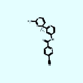 C[C@@]1(c2cc(NC(=O)c3ccc(C#N)cn3)ccn2)C=CSC(N)=N1